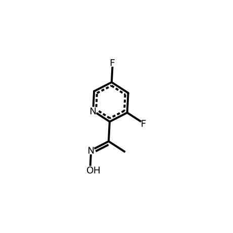 C/C(=N\O)c1ncc(F)cc1F